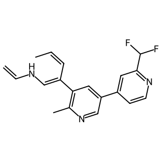 C=CN/C=C(\C=C/C)c1cc(-c2ccnc(C(F)F)c2)cnc1C